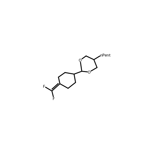 CCCCCC1COC(C2CCC(=C(F)F)CC2)OC1